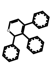 C1=CC(c2ccccc2)=C(c2ccccc2)C(c2ccccc2)O1